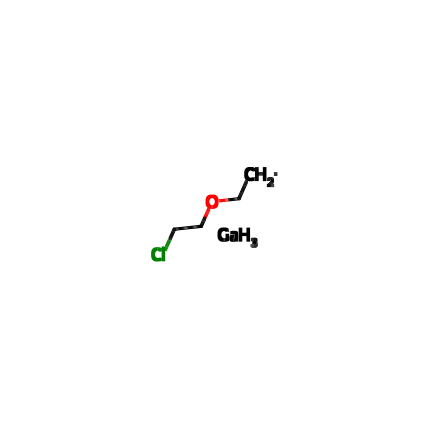 [CH2]COCCCl.[GaH3]